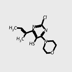 C/C=C(\C)c1nc(Cl)nc(N2CCOCC2)c1S